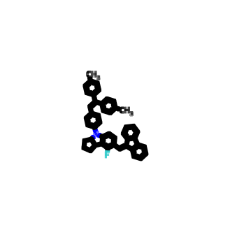 Cc1ccc(C(=Cc2ccc(N3c4ccc(C=C5c6ccccc6-c6ccccc65)c(F)c4C4CCCC43)cc2)c2ccc(C)cc2)cc1